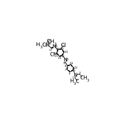 CCN(CC)c1ccc(C=Nc2cc(Cl)c(N=CN(C)C)c(Cl)c2)cc1